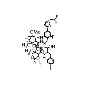 COC(=O)NC(C(=O)NN(Cc1c(F)cc(-c2ccn(CC(F)F)n2)cc1F)CC(O)C(Cc1ccc(I)cc1)NC(=O)C(OC(N)=O)C(C)(C)C(F)(F)F)C(C)(C)C(F)(F)F